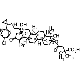 CC(C)C1=C2[C@H]3CC[C@@H]4[C@@]5(C)CC[C@H](OC(=O)CC(C)(C)C(=O)O)C(C)(C)[C@@H]5CC[C@@]4(C)[C@]3(C)CC[C@@]2([C@@H](O)CNC2(c3ncc(Cl)cn3)CC2)CC1=O